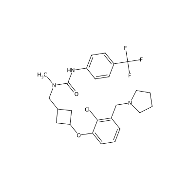 CN(CC1CC(Oc2cccc(CN3CCCC3)c2Cl)C1)C(=O)Nc1ccc(C(F)(F)F)cc1